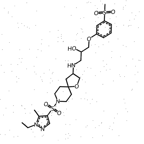 CCn1ncc(S(=O)(=O)N2CCC3(CC2)CC(NCC(O)COc2cccc(S(C)(=O)=O)c2)CO3)c1C